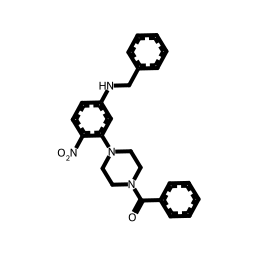 O=C(c1ccccc1)N1CCN(c2cc(NCc3ccccc3)ccc2[N+](=O)[O-])CC1